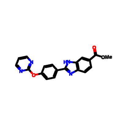 COC(=O)c1ccc2nc(-c3ccc(Oc4ncccn4)cc3)[nH]c2c1